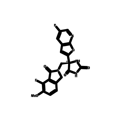 COc1ccc2c(c1F)C(=O)N(C[C@@]1(c3cc4cc(F)cnc4o3)NC(=O)NC1=O)C2